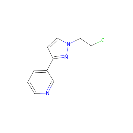 ClCCn1ccc(-c2cccnc2)n1